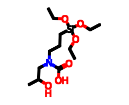 CCO[Si](CCCN(CC(C)O)C(=O)O)(OCC)OCC